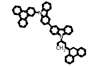 C=C/C(=C\C=C1/Cc2ccccc2-c2ccccc21)n1c2ccccc2c2cc(-c3ccc4c(c3)c3ccccc3n4-c3ccc4c5ccccc5c5ccccc5c4c3)ccc21